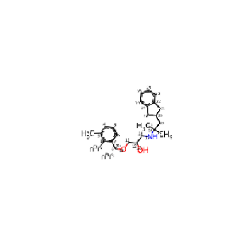 CCCc1c(C)cccc1[C@@H](CCC)OCC(O)CNC(C)(C)CC1Cc2ccccc2C1